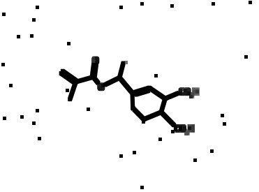 [CH2]C(OC(=O)C(=C)C)C1=CC(C(=O)O)C(C(=O)O)CC1